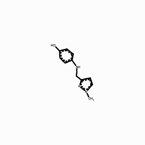 Cn1ccc(CNc2ccc(O)cc2)n1